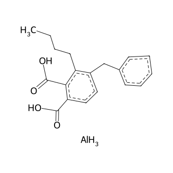 CCCCc1c(Cc2ccccc2)ccc(C(=O)O)c1C(=O)O.[AlH3]